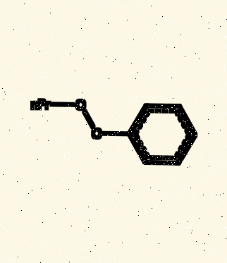 [CH2]CCOOc1ccccc1